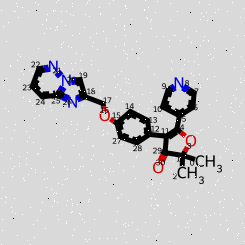 CC1(C)OC(c2ccncc2)=C(c2ccc(OCc3cn4ncccc4n3)cc2)C1=O